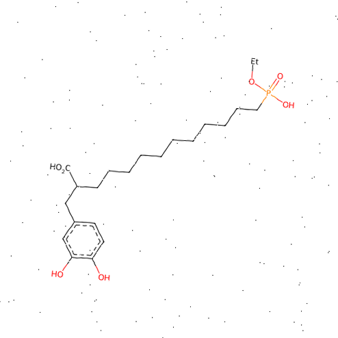 CCOP(=O)(O)CCCCCCCCCCCC(Cc1ccc(O)c(O)c1)C(=O)O